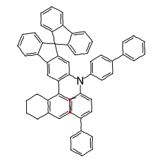 Cc1ccc2c(c1-c1cc3c(cc1N(c1ccc(-c4ccccc4)cc1)c1ccc(-c4ccccc4)cc1)C1(c4ccccc4-c4ccccc41)c1ccccc1-3)CCCC2